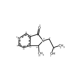 CC(O)CN1C(=O)c2cnccc2C1C